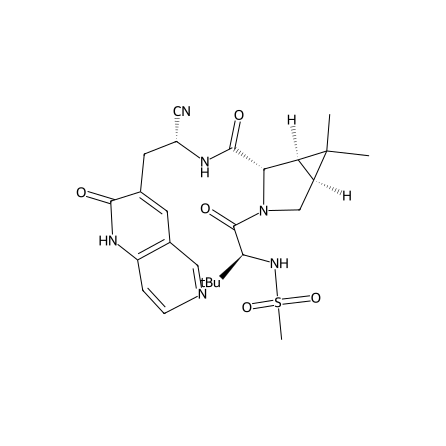 CC(C)(C)[C@H](NS(C)(=O)=O)C(=O)N1C[C@H]2[C@@H]([C@H]1C(=O)N[C@@H](C#N)Cc1cc3cnccc3[nH]c1=O)C2(C)C